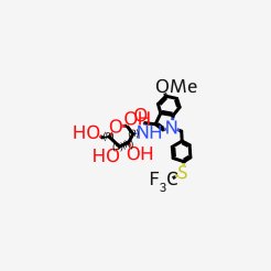 COc1ccc2c(c1)c(C(=O)N[C@H]1C(O)O[C@H](CO)[C@@H](O)[C@@H]1O)cn2Cc1ccc(SC(F)(F)F)cc1